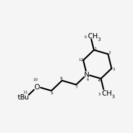 CC1CCC(C)N(CCCOC(C)(C)C)C1